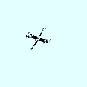 B=S(=B)(F)F